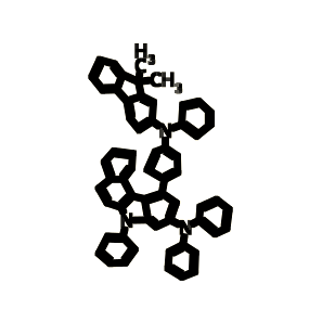 CC1(C)c2ccccc2-c2ccc(N(c3ccccc3)c3ccc(-c4cc(N(c5ccccc5)c5ccccc5)cc5c4c4c6ccccc6ccc4n5-c4ccccc4)cc3)cc21